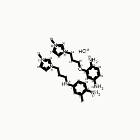 Cc1cc(NCCCn2cc[n+](C)c2)ccc1N.Cl.Cn1cc[n+](CCCOc2cc(N)ccc2N)c1